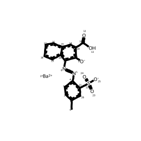 Cc1ccc(N=Nc2c([O-])c(C(=O)O)cc3ccccc23)c(S(=O)(=O)[O-])c1.[Ba+2]